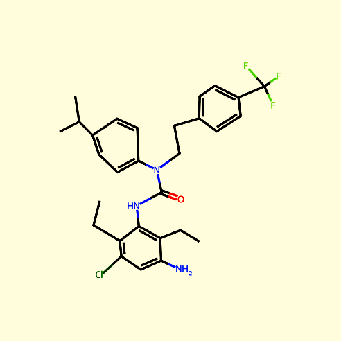 CCc1c(N)cc(Cl)c(CC)c1NC(=O)N(CCc1ccc(C(F)(F)F)cc1)c1ccc(C(C)C)cc1